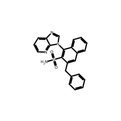 NS(=O)(=O)c1c(Cc2ccccc2)cc2ccccc2c1-n1cnc2cccnc21